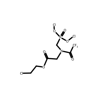 O=C(CN(CP(=O)(OCl)OCl)C(=O)C(F)(F)F)OCCCl